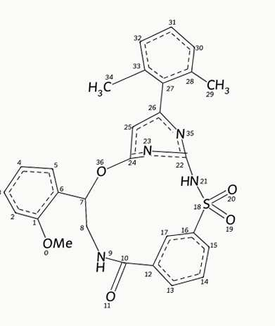 COc1ccccc1C1CNC(=O)c2cccc(c2)S(=O)(=O)Nc2nc(cc(-c3c(C)cccc3C)n2)O1